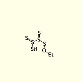 CCOSS(=S)S(=S)S